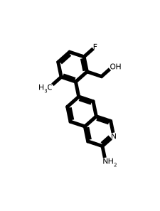 Cc1ccc(F)c(CO)c1-c1ccc2cc(N)ncc2c1